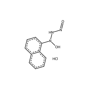 Cl.O=NNN(O)c1cccc2ccccc12